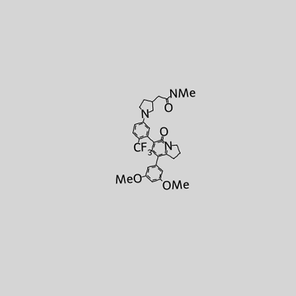 CNC(=O)CC1CCN(c2ccc(C(F)(F)F)c(-c3cc(-c4cc(OC)cc(OC)c4)c4n(c3=O)CCC4)c2)C1